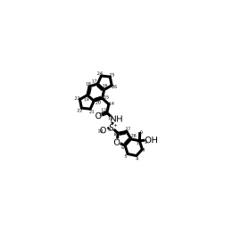 CC1(O)CCCc2oc([S+]([O-])NC(=O)Cc3c4c(cc5c3CCC5)CCC4)cc21